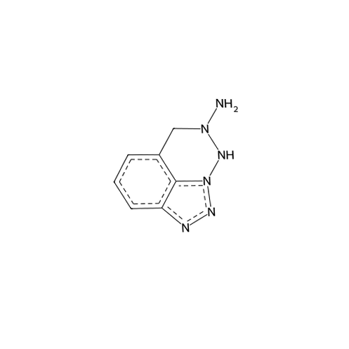 NN1Cc2cccc3nnn(c23)N1